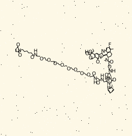 CC[C@@]1(O)C(=O)OCc2c1cc1n(c2=O)Cc2c-1nc1cc(F)c(C)c3c1c2[C@@H](N(C)C(=O)COCNC(=O)CNC(=O)[C@H](Cc1ccccc1)NC(=O)CNC(=O)CNC(=O)COCCOCCOCCOCCOCCOCCOCCOCCNC(=O)CCCCCN1C(=O)C=CC1=O)CC3